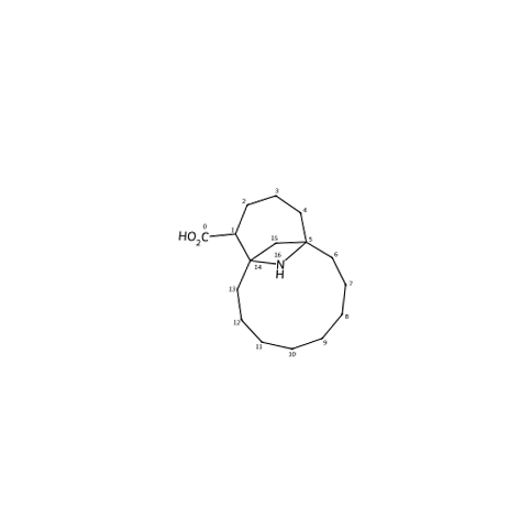 O=C(O)C1CCCC23CCCCCCCCC1(C2)N3